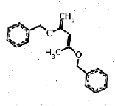 C=C(/C=C(\C)OCc1ccccc1)OCc1ccccc1